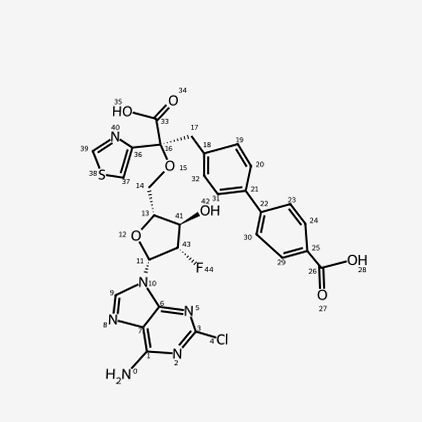 Nc1nc(Cl)nc2c1ncn2[C@@H]1O[C@H](CO[C@](Cc2ccc(-c3ccc(C(=O)O)cc3)cc2)(C(=O)O)c2cscn2)[C@@H](O)[C@@H]1F